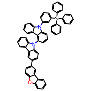 c1ccc([Si](c2ccccc2)(c2ccccc2)c2cccc(-n3c4ccccc4c4c(-n5c6ccccc6c6cc(-c7ccc8oc9ccccc9c8c7)ccc65)cccc43)c2)cc1